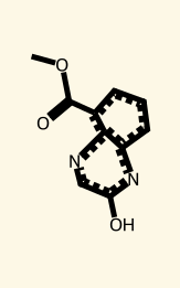 COC(=O)c1cccc2nc(O)cnc12